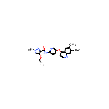 CCCn1cc(OCC(F)(F)F)c(C(=O)Nc2ccc(Oc3ccnc4cc(OC)c(OC)cc34)cn2)n1